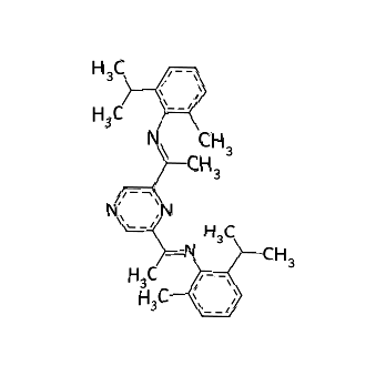 CC(=Nc1c(C)cccc1C(C)C)c1cncc(C(C)=Nc2c(C)cccc2C(C)C)n1